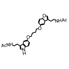 CC(=O)NCCC1=COC2C=CC(OCCCCOc3ccc4[nH]cc(CCNC(C)=O)c4c3)=CC12